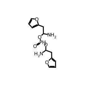 NC(Cc1ccco1)O[PH](=O)OC(N)Cc1ccco1